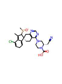 CC1=C2C(Cl)=CCC=C2[C@@]2(CCc3c(ncnc3N3CCN(C(=O)O)[C@@H](CC#N)C3)C2)C1[S+](C)[O-]